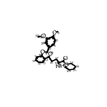 COc1ccc(COc2ccccc2C(=O)CCC(N)C(Cl)N2CCCCC2)cc1OC